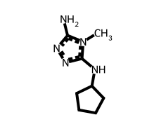 Cn1c(N)nnc1NC1CCCC1